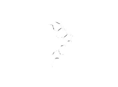 CC(C)(C)c1ccc(Nc2[nH]nc(N=Cc3ccc(O)cc3)c2C#N)cc1